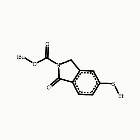 CCSc1ccc2c(c1)CN(C(=O)OC(C)(C)C)C2=O